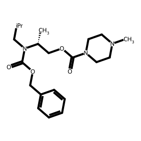 CC(C)CN(C(=O)OCc1ccccc1)[C@H](C)COC(=O)N1CCN(C)CC1